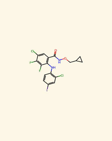 O=C(NOCC1CC1)c1cc(Cl)c(F)c(F)c1Nc1ccc(I)cc1Cl